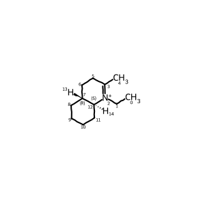 CC[N+]1=C(C)CC[C@H]2CCCC[C@@H]21